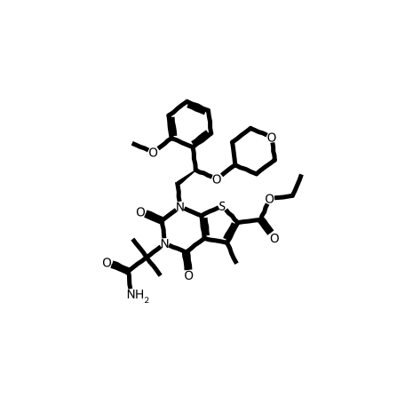 CCOC(=O)c1sc2c(c1C)c(=O)n(C(C)(C)C(N)=O)c(=O)n2C[C@H](OC1CCOCC1)c1ccccc1OC